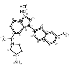 Cl.Cl.N[C@H]1CCN(C(c2ccc3nnc(-c4ccc5ccc(C(F)(F)F)cc5n4)n3c2)C(F)(F)F)C1